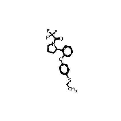 CCSc1ccc(Oc2ccccc2C2CCCN2C(=O)C(F)(F)F)cc1